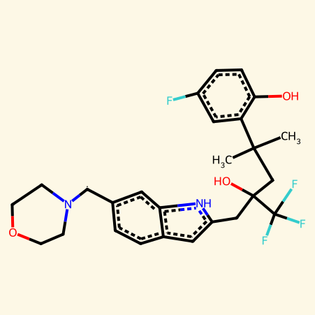 CC(C)(CC(O)(Cc1cc2ccc([CH]N3CCOCC3)cc2[nH]1)C(F)(F)F)c1cc(F)ccc1O